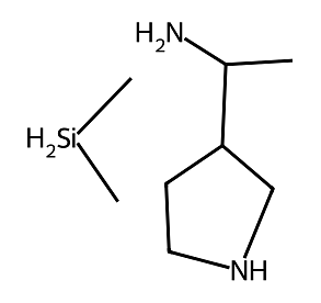 CC(N)C1CCNC1.C[SiH2]C